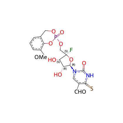 COc1cccc2c1OP(=O)(OC[C@@]1(F)O[C@@H](n3cc(C=O)c(=S)[nH]c3=O)[C@H](O)[C@@H]1O)OC2